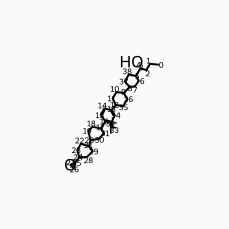 CCCC(O)C1CCC(C2CCC(c3ccc(C4CCC(C5CCC(C6CO6)CC5)CC4)c(F)c3)CC2)CC1